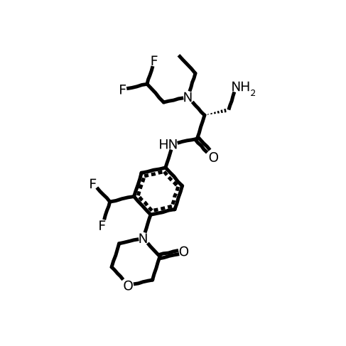 CCN(CC(F)F)[C@H](CN)C(=O)Nc1ccc(N2CCOCC2=O)c(C(F)F)c1